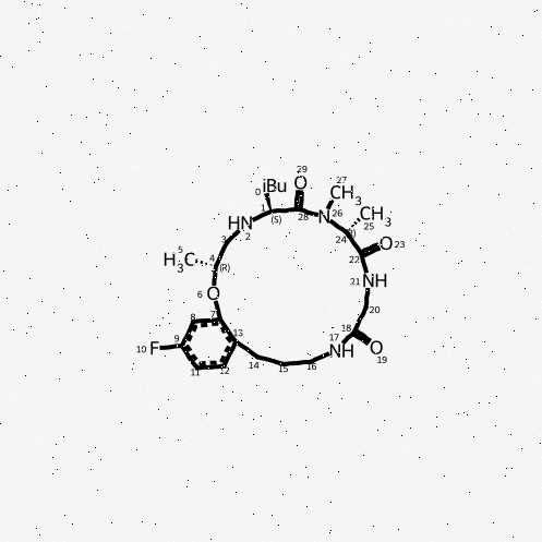 CCC(C)[C@@H]1NC[C@@H](C)Oc2cc(F)ccc2CCCNC(=O)CNC(=O)[C@@H](C)N(C)C1=O